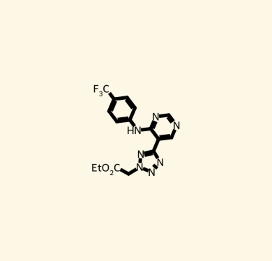 CCOC(=O)Cn1nnc(-c2cncnc2Nc2ccc(C(F)(F)F)cc2)n1